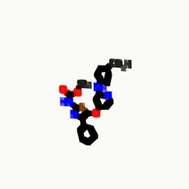 CC(C)(C)OC(=O)Nc1nc(-c2ccccc2)c(Oc2ccnc(Nc3ccc(C(=O)O)cc3)c2)s1